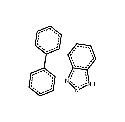 c1ccc(-c2ccccc2)cc1.c1ccc2[nH]nnc2c1